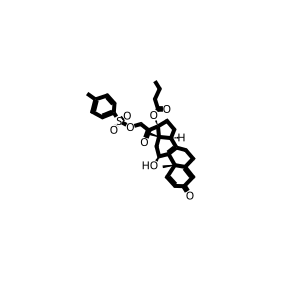 CCCC(=O)O[C@]1(C(=O)COS(=O)(=O)c2ccc(C)cc2)CC[C@H]2C3=C([C@@H](O)C[C@@]21C)[C@@]1(C)C=CC(=O)C=C1CC3